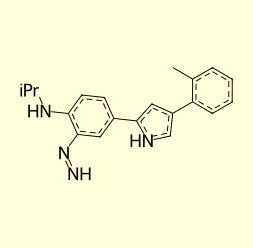 Cc1ccccc1-c1c[nH]c(-c2ccc(NC(C)C)c(N=N)c2)c1